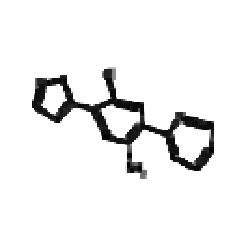 Nc1cc(-c2ccns2)c(Cl)cc1-c1ccccn1